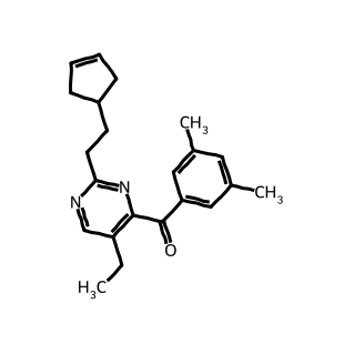 CCc1cnc(CCC2CC=CC2)nc1C(=O)c1cc(C)cc(C)c1